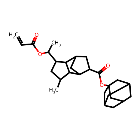 C=CC(=O)OC(C)C1CC(C)C2C3CC(CC3C(=O)OC34CC5CC(CC(C5)C3)C4)C12